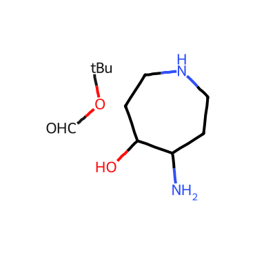 CC(C)(C)OC=O.NC1CCNCCC1O